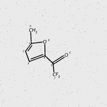 Cc1ccc(C(=O)C(F)(F)F)o1